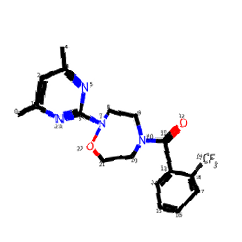 Cc1cc(C)nc(N2CCN(C(=O)c3ccccc3C(F)(F)F)CCO2)n1